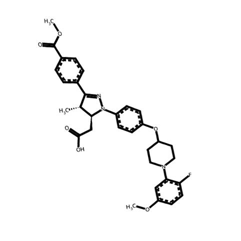 COC(=O)c1ccc(C2=NN(c3ccc(OC4CCN(c5cc(OC)ccc5F)CC4)cc3)[C@@H](CC(=O)O)[C@@H]2C)cc1